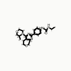 CCNC(=O)Nc1ccc(-c2nc3c(c(N4CCOCC4C)n2)CCOC3)cc1